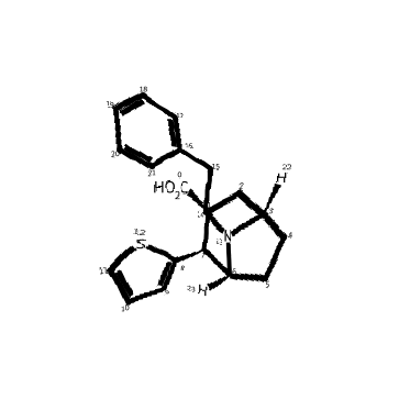 O=C(O)[C@H]1C[C@@H]2CC[C@H]([C@H]1c1cccs1)N2CCc1ccccc1